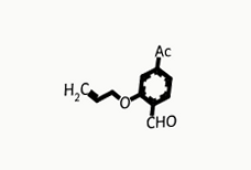 C=CCOc1cc(C(C)=O)ccc1C=O